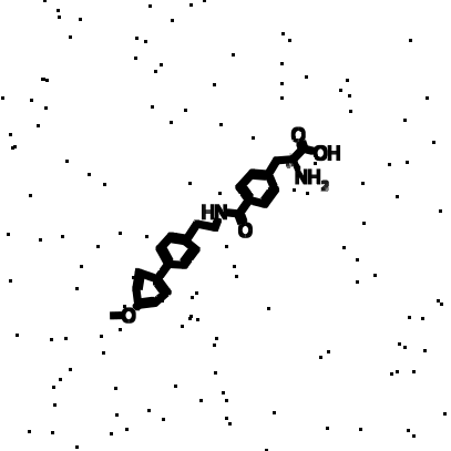 COc1ccc(-c2ccc(CCNC(=O)c3ccc(C[C@H](N)C(=O)O)cc3)cc2)cc1